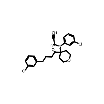 C#CC(=O)N(c1cccc(Cl)c1)C1(C(=O)CCCc2cccc(Cl)c2)CCOCC1